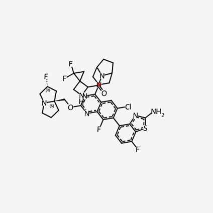 Nc1nc2c(-c3c(Cl)cc4c(N5CC6CCC(C5)N6C(=O)C5NCC56CC6(F)F)nc(OC[C@@]56CCCN5C[C@H](F)C6)nc4c3F)ccc(F)c2s1